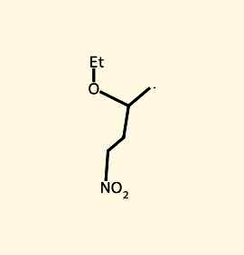 [CH2]C(CC[N+](=O)[O-])OCC